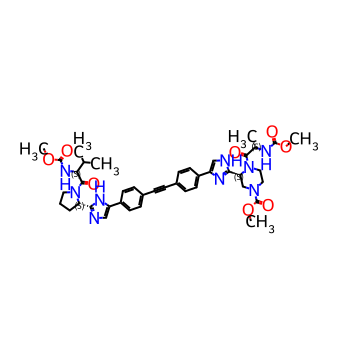 COC(=O)N[C@@H](C)C(=O)N1CCN(C(=O)OC)C[C@H]1c1nc(-c2ccc(C#Cc3ccc(-c4cnc([C@@H]5CCCN5C(=O)[C@@H](NC(=O)OC)C(C)C)[nH]4)cc3)cc2)c[nH]1